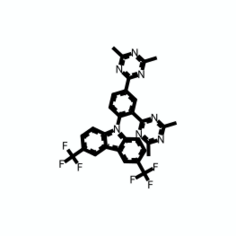 Cc1nc(C)nc(-c2ccc(-n3c4ccc(C(F)(F)F)cc4c4cc(C(F)(F)F)ccc43)c(-c3nc(C)nc(C)n3)c2)n1